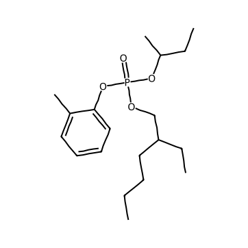 CCCCC(CC)COP(=O)(Oc1ccccc1C)OC(C)CC